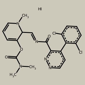 CN(C)C(=O)OC1=CC=CN(C)C1C=NC(=O)c1nnccc1-c1c(Cl)cccc1Cl.I